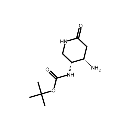 CC(C)(C)OC(=O)N[C@@H]1CNC(=O)C[C@@H]1N